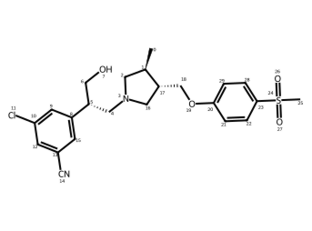 C[C@@H]1CN(C[C@@H](CO)c2cc(Cl)cc(C#N)c2)C[C@H]1COc1ccc(S(C)(=O)=O)cc1